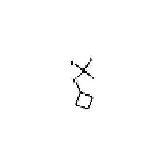 FC(F)(F)O[C]1CCC1